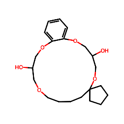 OC1COCCCCC2(CCCC2)OCC(O)COc2ccccc2OC1